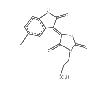 Cc1ccc2c(c1)C(=C1SC(=S)N(CCC(=O)O)C1=O)C(=O)N2